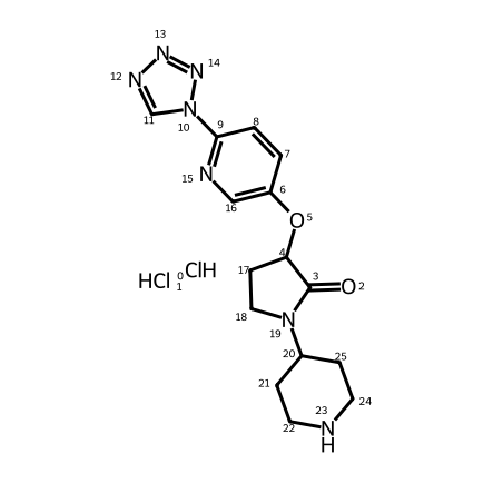 Cl.Cl.O=C1C(Oc2ccc(-n3cnnn3)nc2)CCN1C1CCNCC1